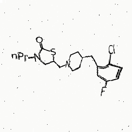 CCCN1CC(CN2CCC(Cc3cc(F)ccc3Cl)CC2)SC1=O